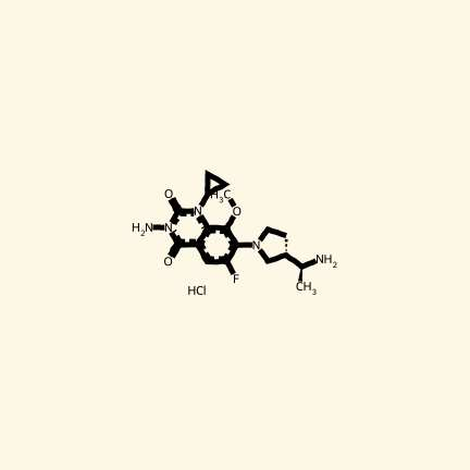 COc1c(N2CC[C@H]([C@H](C)N)C2)c(F)cc2c(=O)n(N)c(=O)n(C3CC3)c12.Cl